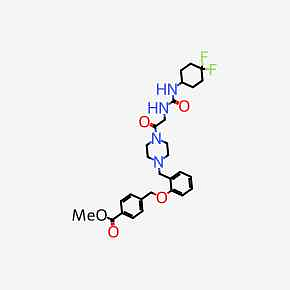 COC(=O)c1ccc(COc2ccccc2CN2CCN(C(=O)CNC(=O)NC3CCC(F)(F)CC3)CC2)cc1